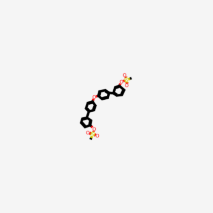 CS(=O)(=O)Oc1cccc(-c2ccc(Oc3ccc(-c4cccc(OS(C)(=O)=O)c4)cc3)cc2)c1